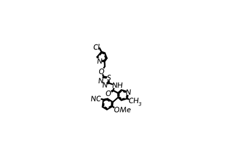 COc1ccc(C#N)cc1-c1cc(C)ncc1C(=O)Nc1nnc(OCc2ccc(Cl)cn2)s1